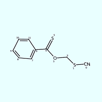 N#CSCOC(=S)c1ccccc1